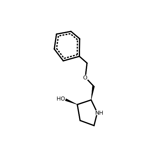 O[C@@H]1CCN[C@@H]1COCc1ccccc1